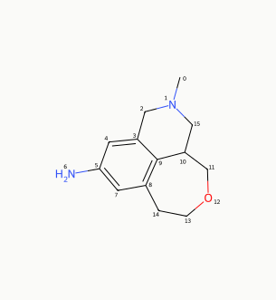 CN1Cc2cc(N)cc3c2C(COCC3)C1